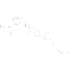 C=C1NC(=O)C(C=CNC(=O)c2ccc(C(=O)NCCOCCOCCCCCCC)cc2)=CN1C1CC(C)C(CO)O1